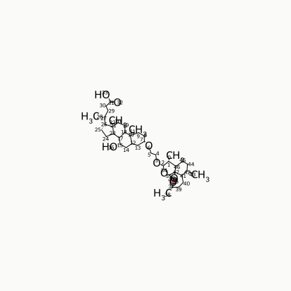 C[C@H]1C(OCCO[C@@H]2CC[C@@]3(C)C(C2)C[C@H](O)C2C3CC[C@@]3(C)C2CC[C@@H]3[C@H](C)CCC(=O)O)OC2O[C@]3(C)CCC4[C@H](C)CCC1C24OO3